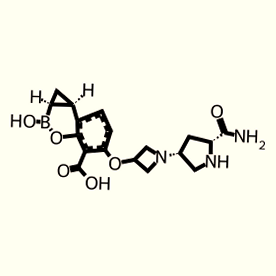 NC(=O)[C@H]1C[C@@H](N2CC(Oc3ccc4c(c3C(=O)O)OB(O)[C@H]3C[C@@H]43)C2)CN1